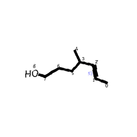 C/C=C/C(C)CCCO